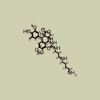 COc1cc(C2c3cc4c(cc3[C@@H](NC(=O)NCCCNCCCCN)[C@H]3COC(=O)[C@H]23)OCO4)cc(C)c1O